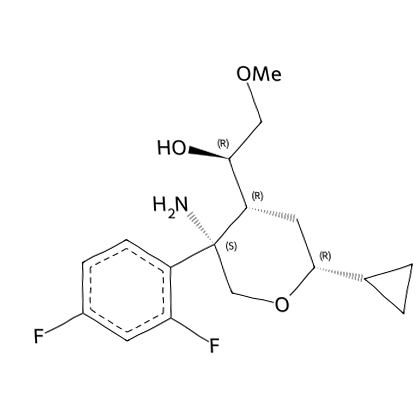 COC[C@H](O)[C@@H]1C[C@H](C2CC2)OC[C@@]1(N)c1ccc(F)cc1F